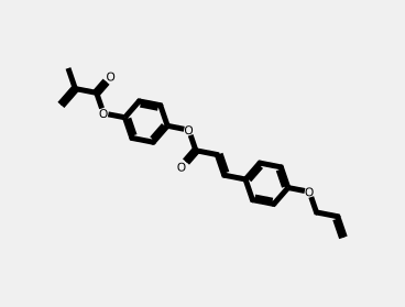 C=CCOc1ccc(C=CC(=O)Oc2ccc(OC(=O)C(=C)C)cc2)cc1